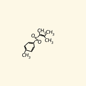 CC(C)=C(C)S(=O)(=O)c1ccc(C)cc1